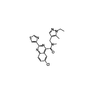 CCn1ncc(CN(C)C(=O)c2nc(-c3cscn3)nc3ccc(Cl)cc23)c1C